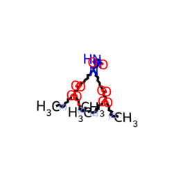 CC/C=C\CCCCOC(CCC(=O)OCCCCCCCN(CCCCCCCOC(=O)CCC(OCCCC/C=C\CC)OCCCC/C=C\CC)CCN1C(=O)CNC1=O)OCCCC/C=C\CC